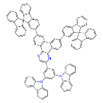 c1ccc2c(c1)-c1ccccc1C21c2ccccc2-c2ccc(-c3ccc4c(c3)c3cc(-c5ccc6c(c5)C5(c7ccccc7-c7ccccc75)c5ccccc5-6)ccc3c3nc(-c5cc(-n6c7ccccc7c7ccccc76)cc(-n6c7ccccc7c7ccccc76)c5)cnc43)cc21